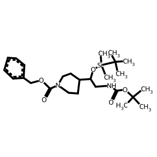 CC(C)(C)OC(=O)NCC(O[Si](C)(C)C(C)(C)C)C1CCN(C(=O)OCc2ccccc2)CC1